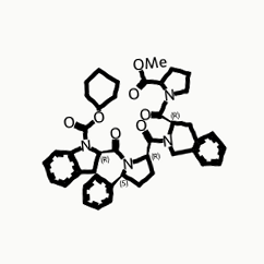 COC(=O)C1CCCN1C(=O)[C@H]1Cc2ccccc2CN1C(=O)[C@H]1CC[C@@H](c2ccccc2)N1C(=O)[C@H]1Cc2ccccc2N1C(=O)OC1CCCCC1